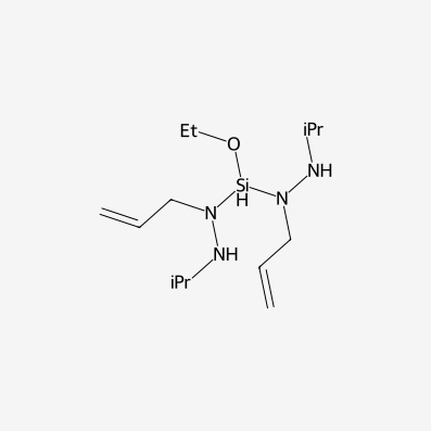 C=CCN(NC(C)C)[SiH](OCC)N(CC=C)NC(C)C